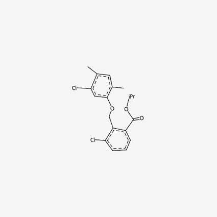 Cc1cc(C)c(OCc2c(Cl)cccc2C(=O)OC(C)C)cc1Cl